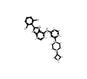 Clc1cccc(Cl)c1-c1nc2ncnc(Nc3cc(N4CCN(C5COC5)CC4)ncn3)c2[nH]1